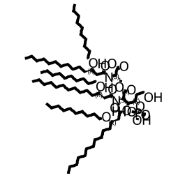 CCCCCCCCCCC[C@H](CC(=O)N[C@@H](CO[C@@H]1OC(CO)[C@@H](OP(=O)(O)O)C(OC(=O)C[C@@H](CCCCCCCCCCC)OCCCCCCCCCC)[C@@H]1NC(=O)C[C@@H](CCCCCCCCCCC)OCCCCCCCCCC)C(=O)O)OCCCCCCCCCC